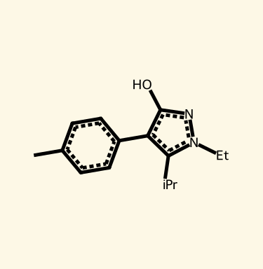 CCn1nc(O)c(-c2ccc(C)cc2)c1C(C)C